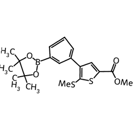 COC(=O)c1cc(-c2cccc(B3OC(C)(C)C(C)(C)O3)c2)c(SC)s1